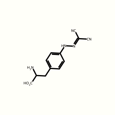 N#CC(C#N)=NNc1ccc(CC(N)C(=O)O)cc1